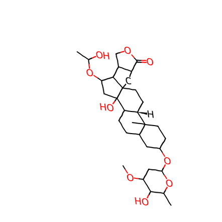 COC1CC(OC2CCC3(C)C(CCC4[C@@H]3CCC35CC6C(=O)OCC6C3C(OC(C)O)CC45O)C2)OC(C)C1O